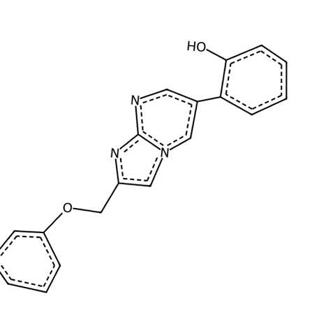 Oc1ccccc1-c1cnc2nc(COc3ccccc3)cn2c1